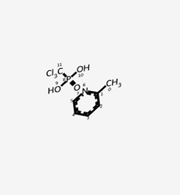 Cc1ccccn1.O=P(O)(O)C(Cl)(Cl)Cl